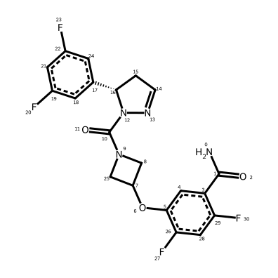 NC(=O)c1cc(OC2CN(C(=O)N3N=CC[C@H]3c3cc(F)cc(F)c3)C2)c(F)cc1F